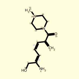 C=C(/C=C\C=C(\N)CO)C(=O)N1CCN(C)CC1